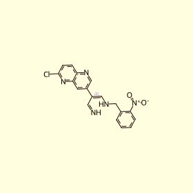 N=C/C(=C\NCc1ccccc1[N+](=O)[O-])c1cnc2ccc(Cl)nc2c1